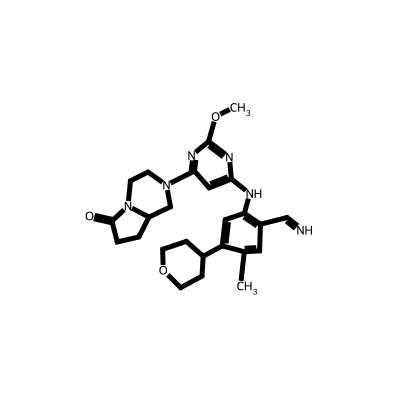 COc1nc(Nc2cc(C3CCOCC3)c(C)cc2C=N)cc(N2CCN3C(=O)CCC3C2)n1